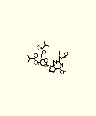 COc1nc(NC=O)nc2c1ccn2[C@@H]1C[C@H](OC(=O)C(C)C)[C@@H](COC(=O)C(C)C)O1